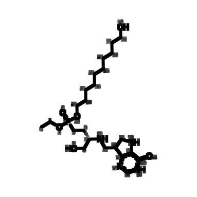 CCOP(=O)(CC[C@@H](CO)NCC1CNc2c1nc[nH]c2=O)OCCCCCCCCCCO